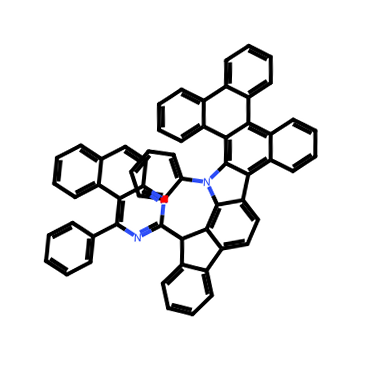 c1ccc(-c2nc(C3c4ccccc4-c4ccc5c6c7ccccc7c7c8ccccc8c8ccccc8c7c6n(-c6ccccc6)c5c43)nc3ccc4ccccc4c23)cc1